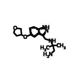 CC(C)(CN)NCc1n[nH]c2ccc(OC3CCOC3)cc12